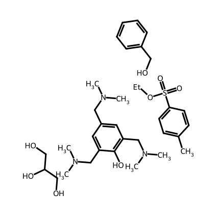 CCOS(=O)(=O)c1ccc(C)cc1.CN(C)Cc1cc(CN(C)C)c(O)c(CN(C)C)c1.OCC(O)CO.OCc1ccccc1